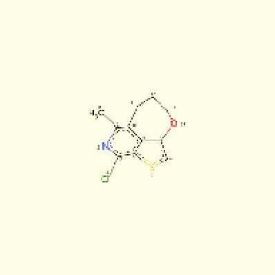 Cc1nc(Cl)c2scc3c2c1CCCO3